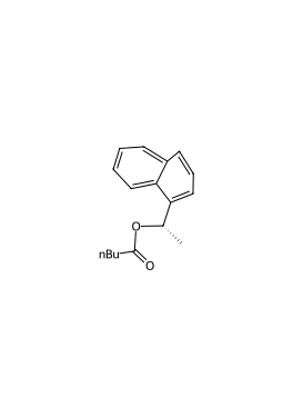 CCCCC(=O)O[C@@H](C)c1cccc2ccccc12